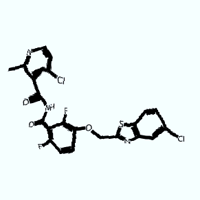 Cc1nccc(Cl)c1C(=O)NC(=O)c1c(F)ccc(OCc2nc3cc(Cl)ccc3s2)c1F